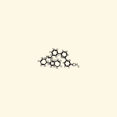 Cc1cccc(-c2cccc(-c3cccc(C4=NC5C=CC=CC5c5cc6c(n54)C=CCC6)c3)n2)c1